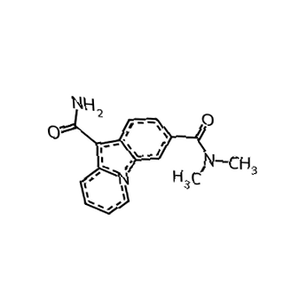 CN(C)C(=O)c1ccc2c(C(N)=O)c3ccccn3c2c1